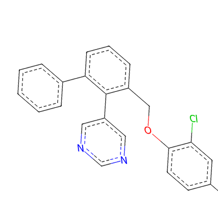 Clc1ccc(OCc2cccc(-c3ccccc3)c2-c2cncnc2)c(Cl)c1